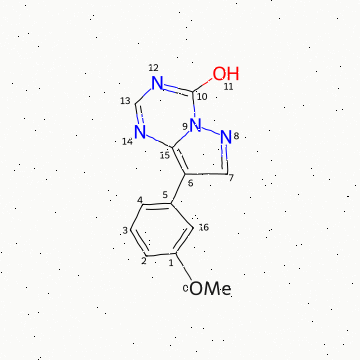 COc1cccc(-c2cnn3c(O)ncnc23)c1